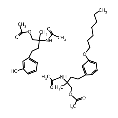 CC(=O)NC(C)(CCc1cccc(O)c1)COC(C)=O.CCCCCCCOc1cccc(CCC(C)(COC(C)=O)NC(C)=O)c1